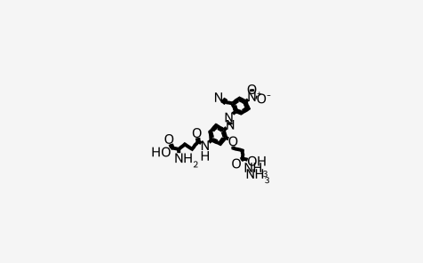 N.N.N#Cc1cc([N+](=O)[O-])ccc1N=Nc1ccc(NC(=O)CCC(N)C(=O)O)cc1OCCC(=O)O